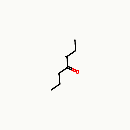 CC[CH]C(=O)CCC